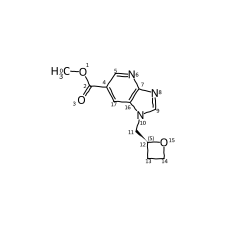 COC(=O)c1cnc2ncn(C[C@@H]3CCO3)c2c1